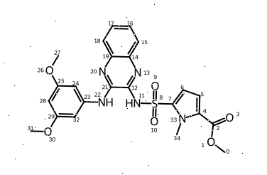 COC(=O)c1ccc(S(=O)(=O)Nc2nc3ccccc3nc2Nc2cc(OC)cc(OC)c2)n1C